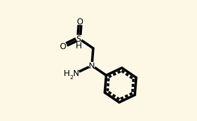 NN(C[SH](=O)=O)c1ccccc1